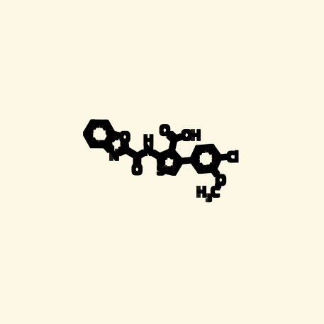 COc1cc(-c2csc(NC(=O)c3nc4ccccc4o3)c2C(=O)O)ccc1Cl